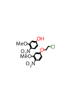 COc1cc(O)ccc1[N+](=O)[O-].COc1cc(OCCCl)ccc1[N+](=O)[O-]